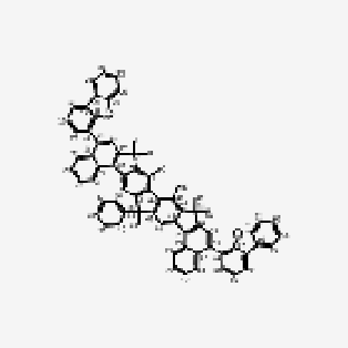 Cc1c2c(cc3c1C(C)(C)c1cc(-c4cccc5c4oc4ccccc45)c4ccccc4c1-3)C(C)(c1ccccc1)c1cc3c(c(C)c1-2)C(C)(C)c1cc(-c2cccc4c2oc2ccccc24)c2ccccc2c1-3